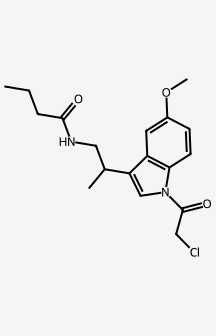 CCCC(=O)NCC(C)c1cn(C(=O)CCl)c2ccc(OC)cc12